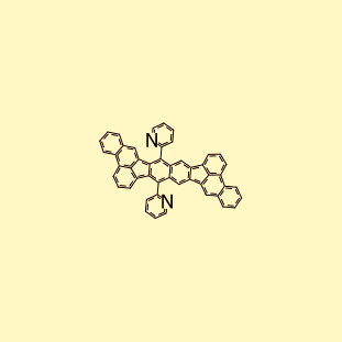 c1ccc(-c2c3cc4c(cc3c(-c3ccccn3)c3c5cc6ccccc6c6cccc(c23)c65)c2cccc3c5ccccc5cc4c32)nc1